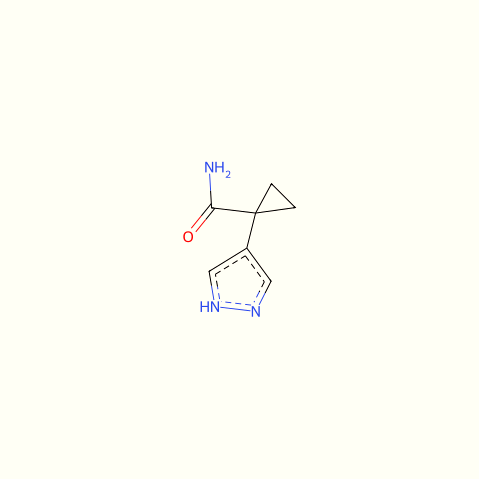 NC(=O)C1(c2cn[nH]c2)CC1